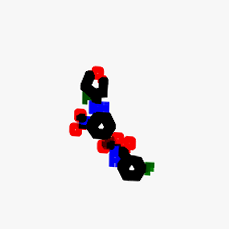 O=C(NS(=O)(=O)c1ccc(NCC2(F)CCOCC2)c([N+](=O)[O-])c1)c1cccc(F)c1